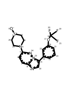 [O-][S+]1CCN(c2ccc3ncc(-c4cccc(OC(F)(F)F)c4)n3n2)CC1